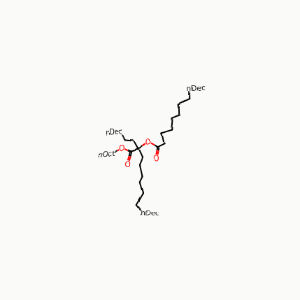 CCCCCCCCCCCCCCCCCC(=O)OC(CCCCCCCCCCCC)(CCCCCCCCCCCCCCCC)C(=O)OCCCCCCCC